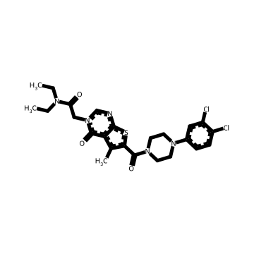 CCN(CC)C(=O)Cn1cnc2sc(C(=O)N3CCN(c4ccc(Cl)c(Cl)c4)CC3)c(C)c2c1=O